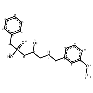 COc1cc(CNCC(O)CP(=O)(O)Cc2ccccc2)ccn1